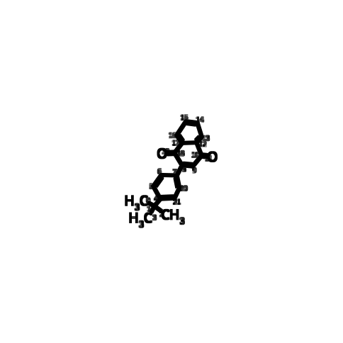 CC(C)(C)c1ccc(C2=CC(=O)c3ccccc3C2=O)cc1